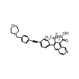 CN(C)c1c(-c2ccc(C#Cc3ccc(CN4CCOCC4)cc3)cc2)cc2ccncc2c1C(=O)NO